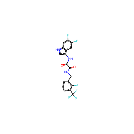 O=C(NCc1cccc(C(F)(F)F)c1F)C(=O)Nc1c[nH]c2cc(F)c(F)cc12